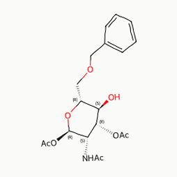 CC(=O)N[C@@H]1[C@@H](OC(C)=O)O[C@H](COCc2ccccc2)[C@@H](O)[C@@H]1OC(C)=O